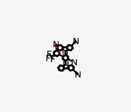 N#Cc1cc(-c2cc(-n3c4ccccc4c4cc(C#N)ccc43)c(C#N)cc2-n2c3ccccc3c3cc(C#N)ccc32)cc(C(F)(F)F)c1